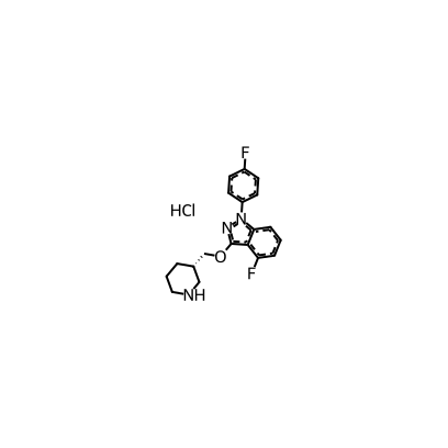 Cl.Fc1ccc(-n2nc(OC[C@H]3CCCNC3)c3c(F)cccc32)cc1